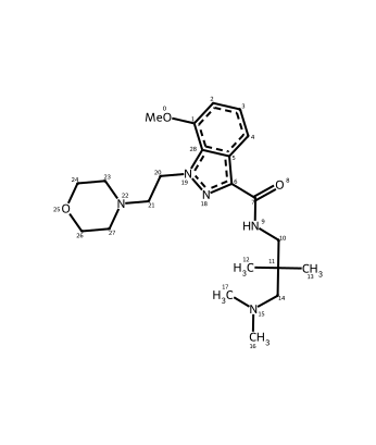 COc1cccc2c(C(=O)NCC(C)(C)CN(C)C)nn(CCN3CCOCC3)c12